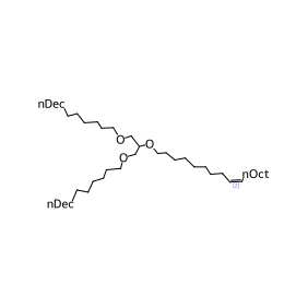 CCCCCCCC/C=C\CCCCCCCCOC(COCCCCCCCCCCCCCCCC)COCCCCCCCCCCCCCCCC